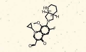 COc1c(N2C[C@H]3CCCN[C@H]3C2)c(F)cc2c(=O)c(C=O)cn(C3CC3)c12